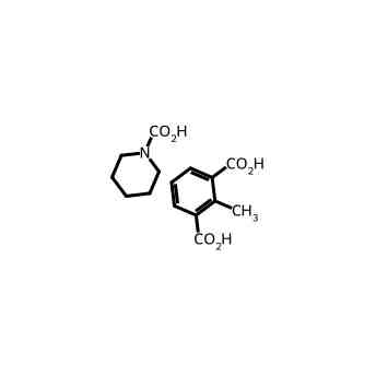 Cc1c(C(=O)O)cccc1C(=O)O.O=C(O)N1CCCCC1